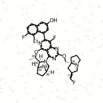 CCc1c(F)ccc2cc(O)cc(-c3nc4c5c(nc(OC[C@]67CCCN6C/C(=C\F)C7)nc5c3F)N3C[C@H]5CC[C@H](N5)[C@H]3[C@H](C)O4)c12